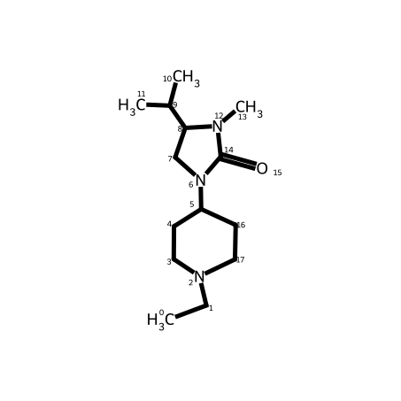 CCN1CCC(N2CC(C(C)C)N(C)C2=O)CC1